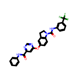 O=C(Nc1ccccc1)c1cc(Oc2ccc3c(c2)CCN3C(=O)Nc2cccc(C(F)(F)F)c2)ncn1